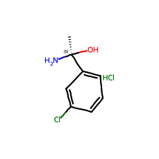 C[C@](N)(O)c1cccc(Cl)c1.Cl